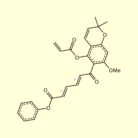 C=CC(=O)Oc1c2c(cc(OC)c1C(=O)/C=C/C=C/C(=O)Oc1ccccc1)OC(C)(C)C=C2